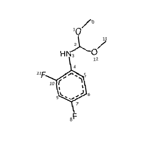 COC(Nc1ccc(F)cc1F)OC